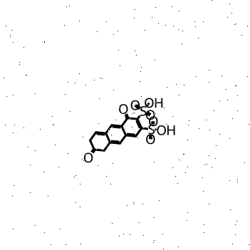 O=C1CC=c2cc3c(cc2C1)=CC(S(=O)(=O)O)=C(S(=O)(=O)O)C3=O